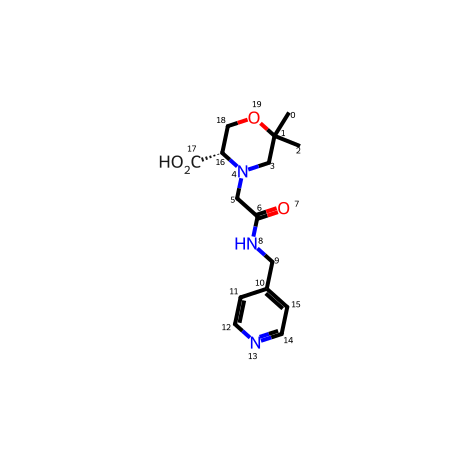 CC1(C)CN(CC(=O)NCc2ccncc2)[C@H](C(=O)O)CO1